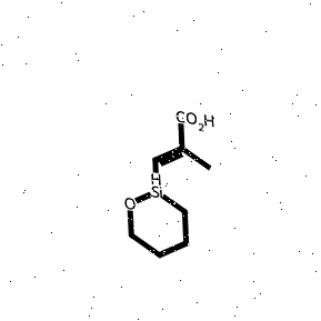 CC(=C[SiH]1CCCCO1)C(=O)O